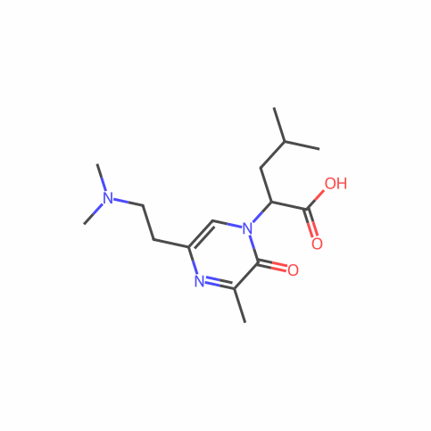 Cc1nc(CCN(C)C)cn(C(CC(C)C)C(=O)O)c1=O